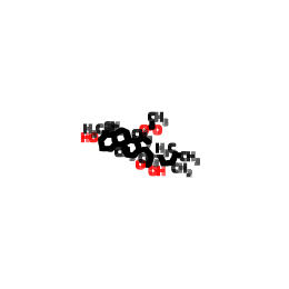 C=C(CC[C@H](C(=O)O)[C@H]1C[C@H](OC(C)=O)[C@@]2(C)C3=CC[C@H]4C(C)(C)[C@@H](O)CC[C@]4(C)C3=CC[C@]12C)C(C)C